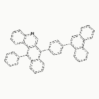 c1ccc(-c2c3ccccc3c(-c3ccc(-c4cc5ccccc5c5ccccc45)cc3)c3cnc4ccccc4c23)cc1